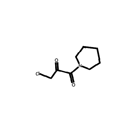 O=C(CCl)C(=O)N1CCCCC1